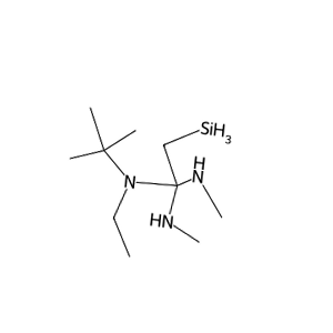 CCN(C(C)(C)C)C(C[SiH3])(NC)NC